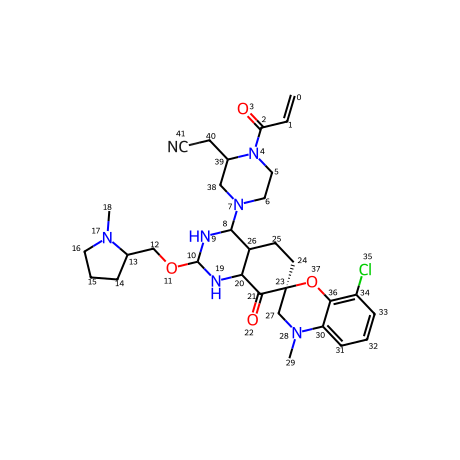 C=CC(=O)N1CCN(C2NC(OCC3CCCN3C)NC3C(=O)[C@]4(CCC32)CN(C)c2cccc(Cl)c2O4)CC1CC#N